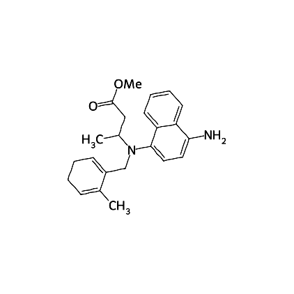 COC(=O)CC(C)N(CC1=CCCC=C1C)c1ccc(N)c2ccccc12